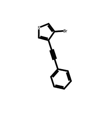 Brc1cscc1C#Cc1ccccc1